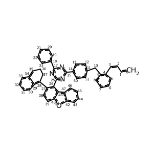 C=C/C=C\c1ccccc1Cc1ccc(-c2nc(-c3ccccc3)nc(-c3c(C4=c5ccccc5=CCC4)ccc4oc5ccccc5c34)n2)cc1